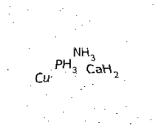 N.P.[CaH2].[Cu]